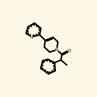 CC(C(=O)N1CC=C(c2ccccn2)CC1)c1ccccc1